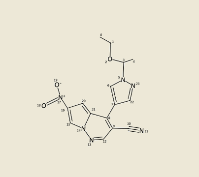 CCOC(C)n1cc(-c2c(C#N)cnn3cc([N+](=O)[O-])cc23)cn1